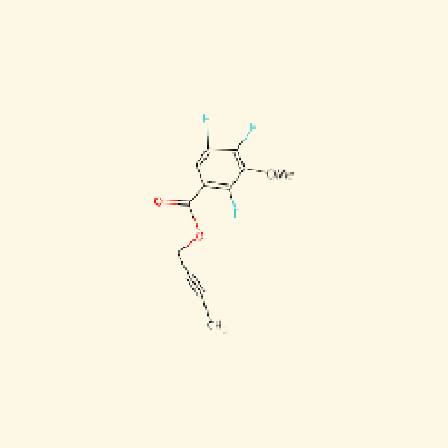 CC#CCOC(=O)c1cc(F)c(F)c(OC)c1F